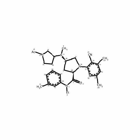 CCN(C(=O)[C@H]1C[C@@H](N(C)C2CCN(C(C)=O)C2)CN1c1nc(C)cc(C)c1C#N)c1cccc(C)c1